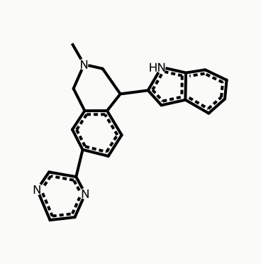 CN1Cc2cc(-c3cnccn3)ccc2C(c2cc3ccccc3[nH]2)C1